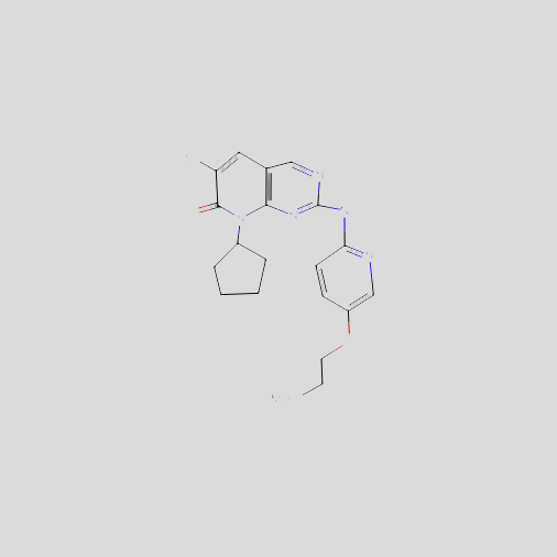 COCCOc1ccc(Nc2ncc3cc(C(C)=O)c(=O)n(C4CCCC4)c3n2)nc1